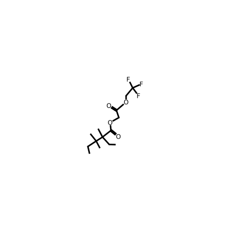 CCC(C)(C)C(C)(CC)C(=O)OCC(=O)OCC(F)(F)F